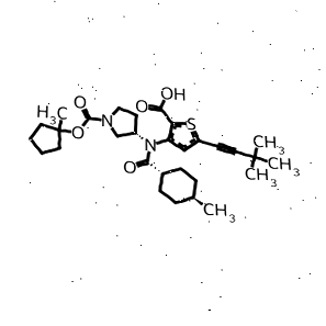 CC(C)(C)C#Cc1cc(N(C(=O)[C@H]2CC[C@H](C)CC2)[C@H]2CCN(C(=O)OC3(C)CCCC3)C2)c(C(=O)O)s1